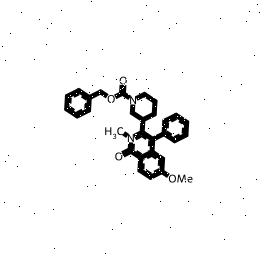 COc1ccc2c(=O)n(C)c(C3CCCN(C(=O)OCc4ccccc4)C3)c(-c3ccccc3)c2c1